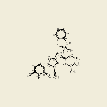 C#C[C]1[CH][C@H](COP(=O)(N[C@@H](C)C(=O)OC(C)C)Oc2ccccc2)O[C@H]1n1ccc(=O)[nH]c1=O